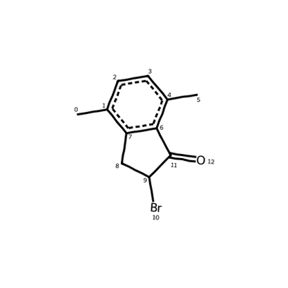 Cc1ccc(C)c2c1CC(Br)C2=O